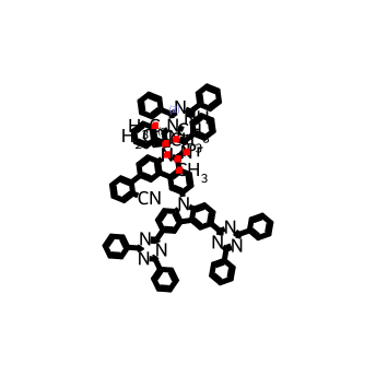 C=CC(C)([C@H](C)N(C)/C(=N\C(=N)c1ccccc1)c1ccccc1)N(c1ccc(-c2ccccc2C#N)cc1-c1cc(-n2c3ccc(-c4nc(-c5ccccc5)nc(-c5ccccc5)n4)cc3c3cc(-c4nc(-c5ccccc5)nc(-c5ccccc5)n4)ccc32)ccc1-c1nc(-c2ccccc2)nc(-c2ccccc2)n1)C(C)C(C)C